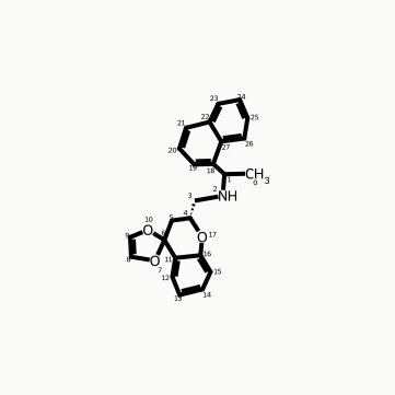 CC(NC[C@H]1CC2(OC=CO2)c2ccccc2O1)c1cccc2ccccc12